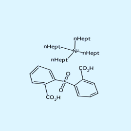 CCCCCCC[N+](CCCCCCC)(CCCCCCC)CCCCCCC.O=C(O)c1ccccc1S(=O)(=O)c1ccccc1C(=O)O